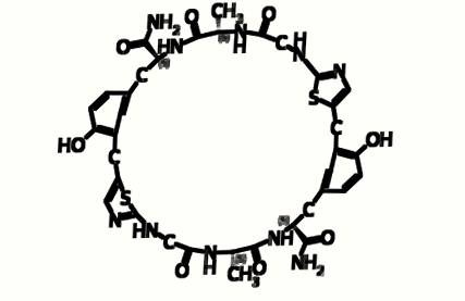 C[C@@H]1NC(=O)CNc2ncc(s2)Cc2cc(ccc2O)C[C@@H](C(N)=O)NC(=O)[C@H](C)NC(=O)CNc2ncc(s2)Cc2cc(ccc2O)C[C@@H](C(N)=O)NC1=O